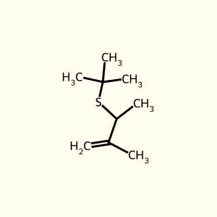 C=C(C)C(C)SC(C)(C)C